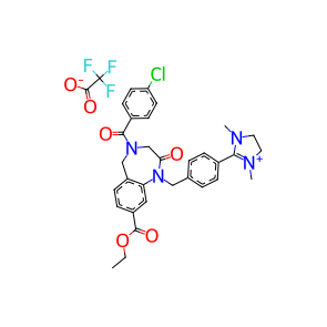 CCOC(=O)c1ccc2c(c1)N(Cc1ccc(C3=[N+](C)CCN3C)cc1)C(=O)CN(C(=O)c1ccc(Cl)cc1)C2.O=C([O-])C(F)(F)F